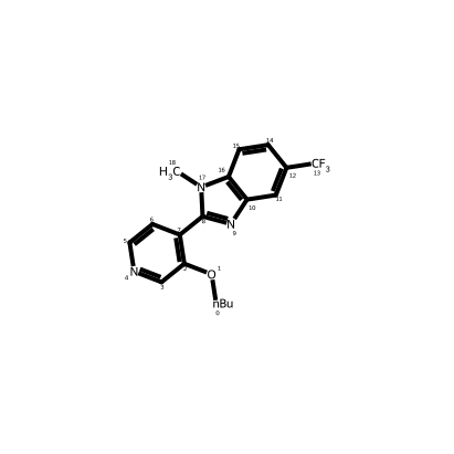 CCCCOc1cnccc1-c1nc2cc(C(F)(F)F)ccc2n1C